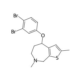 Cc1cc2c(s1)CN(C)CCC2Oc1ccc(Br)c(Br)c1